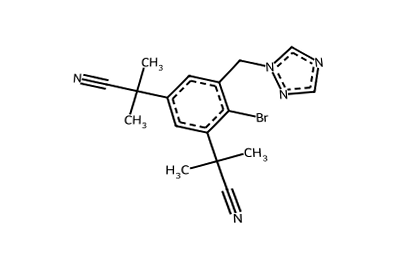 CC(C)(C#N)c1cc(Cn2cncn2)c(Br)c(C(C)(C)C#N)c1